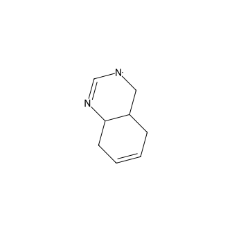 C1=CCC2N=C[N]CC2C1